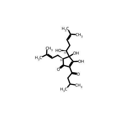 CC(C)=CC[C@@H]1C(=O)C(C(=O)CC(C)C)=C(O)C1(O)[C@@H](O)CC=C(C)C